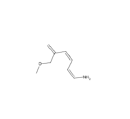 C=C(/C=C\C=C/N)COC